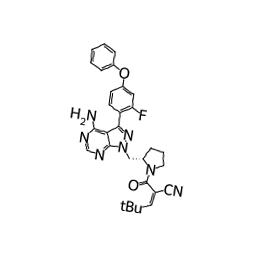 CC(C)(C)/C=C(/C#N)C(=O)N1CCC[C@H]1Cn1nc(-c2ccc(Oc3ccccc3)cc2F)c2c(N)ncnc21